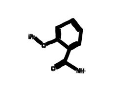 CC(C)Oc1ccccc1C([NH])=O